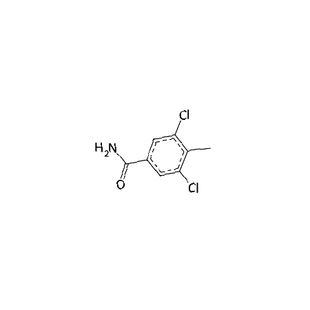 Cc1c(Cl)cc(C(N)=O)cc1Cl